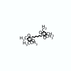 C=C1CC(C)(C)C(=O)N(CCCCCCN2C(=O)C(=C)CC(C)(C)C2=O)C1=O